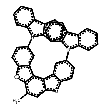 Cc1cc2oc3ccc(-n4c5ccccc5c5ccccc54)cc3c2c2c1oc1ccc(-n3c4ccccc4c4ccccc43)cc12